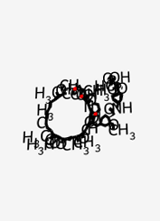 COC1CC(CC2[C@H]3CCCN4C(=O)C(=O)C5(O)O[C@@H](CCC5C)C[C@H](OC)/C(C)=C/C=C/C=C/[C@@H](C)CC(C)C(=O)[C@H](OC)C(O)/C(C)=C/C(C)C(=O)C[C@@H]2OC(=O)C34)CC[C@H]1CC(=O)Nc1ccc(P(=O)(O)CP(=O)(O)O)cc1